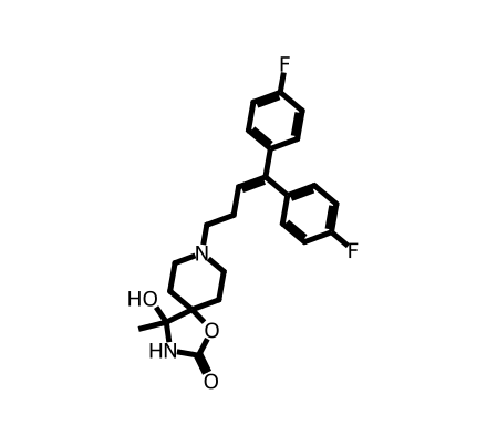 CC1(O)NC(=O)OC12CCN(CCC=C(c1ccc(F)cc1)c1ccc(F)cc1)CC2